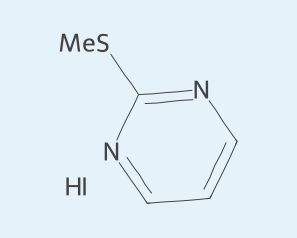 CSc1ncccn1.I